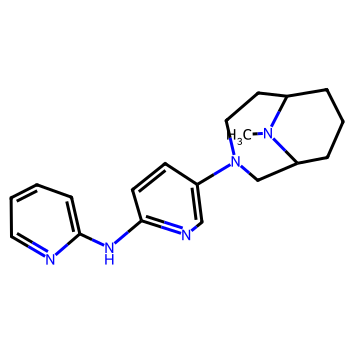 CN1C2CCCC1CN(c1ccc(Nc3ccccn3)nc1)CC2